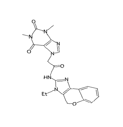 CCn1c(NC(=O)Cn2cnc3c2c(=O)n(C)c(=O)n3C)nc2c1COc1ccccc1-2